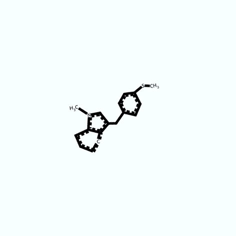 CSc1ccc(Cc2[c]n(C)c3ccccc23)cc1